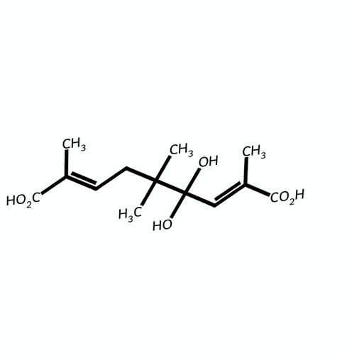 CC(=CCC(C)(C)C(O)(O)C=C(C)C(=O)O)C(=O)O